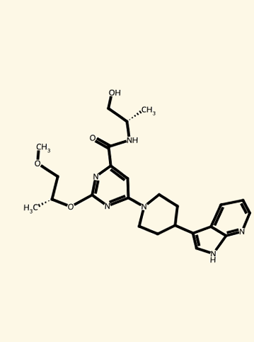 COC[C@@H](C)Oc1nc(C(=O)N[C@@H](C)CO)cc(N2CCC(c3c[nH]c4ncccc34)CC2)n1